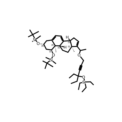 CCC(C#CCOC(C)C1=CC[C@H]2C3=CC=C4C[C@@H](O[Si](C)(C)C(C)(C)C)C[C@H](O[Si](C)(C)C(C)(C)C)[C@]4(C)[C@H]3CC[C@]12C)(CC)O[Si](CC)(CC)CC